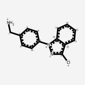 NCc1ccc(-n2nc(Cl)c3ccccc32)cc1